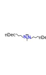 CCCCCCCCCCCCCCN1C=CN(CCCCCCCCCCCCCC)C1C